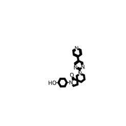 O=C1N([C@H]2CC[C@@H](O)CC2)CCC12CCCN(c1ncc(-c3ccncc3)cn1)C2